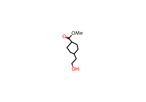 COC(=O)C1CCC(CCO)CC1